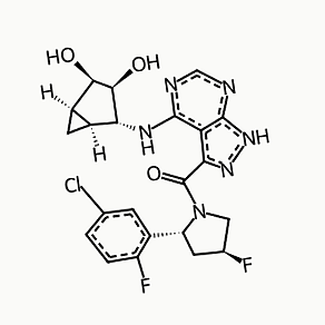 O=C(c1n[nH]c2ncnc(N[C@H]3[C@H](O)[C@H](O)[C@@H]4C[C@@H]43)c12)N1C[C@@H](F)C[C@@H]1c1cc(Cl)ccc1F